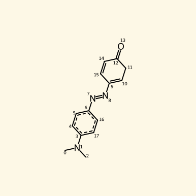 CN(C)c1ccc(N=NC2=CCC(=O)C=C2)cc1